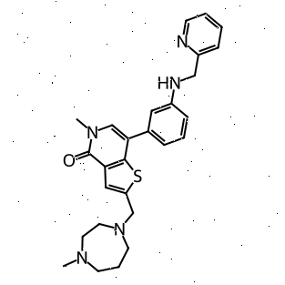 CN1CCCN(Cc2cc3c(=O)n(C)cc(-c4cccc(NCc5ccccn5)c4)c3s2)CC1